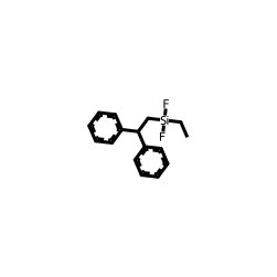 CC[Si](F)(F)CC(c1ccccc1)c1ccccc1